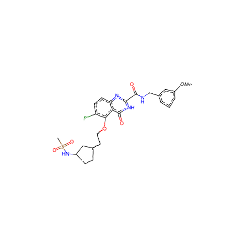 COc1cccc(CNC(=O)c2nc3ccc(F)c(OCCC4CCC(NS(C)(=O)=O)C4)c3c(=O)[nH]2)c1